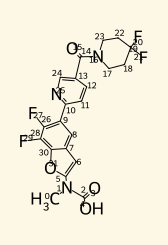 CN(C(=O)O)c1cc2cc(-c3ccc(C(=O)N4CCC(F)(F)CC4)cn3)c(F)c(F)c2o1